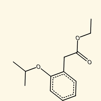 CCOC(=O)Cc1ccccc1OC(C)C